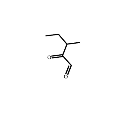 CCC(C)C(=O)C=O